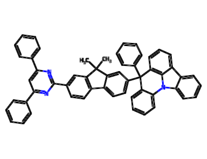 CC1(C)c2cc(-c3nc(-c4ccccc4)cc(-c4ccccc4)n3)ccc2-c2ccc(C3(c4ccccc4)c4ccccc4-n4c5ccccc5c5cccc3c54)cc21